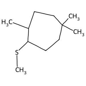 CSC1CCC(C)(C)CCC1C